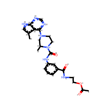 CC(=O)OCCNC(=O)c1cccc(NC(=O)N2CCN(c3ncnc4[nH]cc(C)c34)CC2C)c1